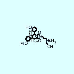 C#CCN(C)CCCN1C(=O)N2C(c3cccc(O)c3)c3[nH]c4ccc(OCC)cc4c3CC2(C)C1=O